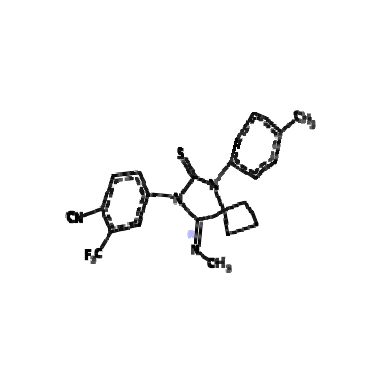 [C-]#[N+]c1ccc(N2C(=S)N(c3ccc(C)cc3)C3(CCC3)/C2=N\C)cc1C(F)(F)F